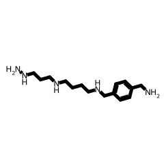 NCc1ccc(CNCCCCNCCCNN)cc1